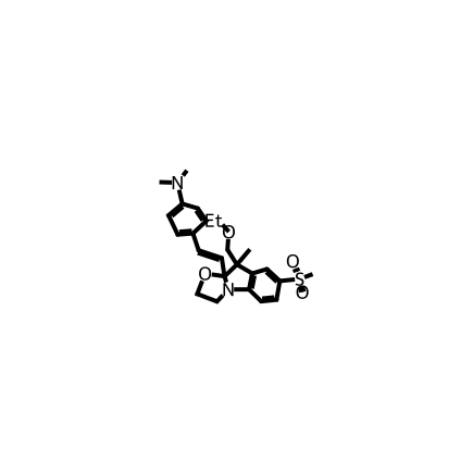 CCOCC1(C)c2cc(S(C)(=O)=O)ccc2N2CCOC21C=Cc1ccc(N(C)C)cc1